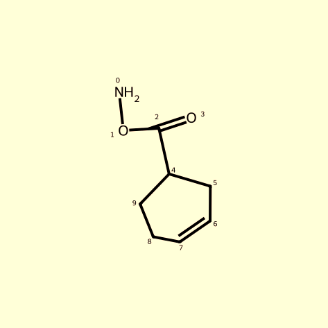 NOC(=O)C1CC=CCC1